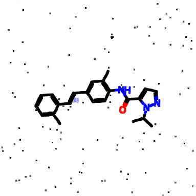 Cc1ccccc1/C=C/c1ccc(NC(=O)c2ccnn2C(C)C)c(C)c1